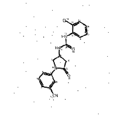 N#Cc1cccc(N2CC(NC(=O)Nc3ccccc3Cl)CC2=O)c1